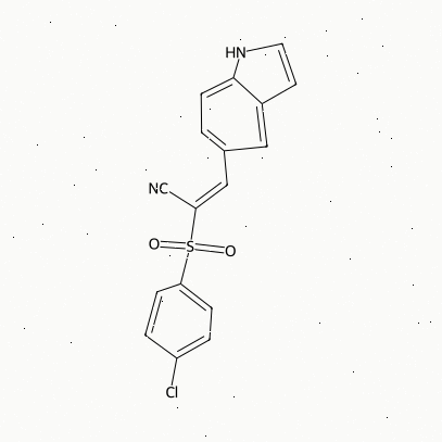 N#C/C(=C\c1ccc2[nH]ccc2c1)S(=O)(=O)c1ccc(Cl)cc1